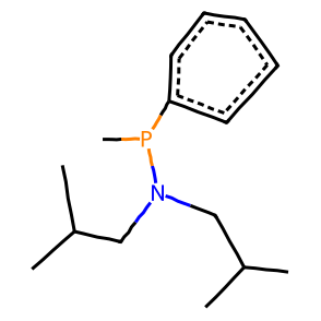 CC(C)CN(CC(C)C)P(C)c1ccccc1